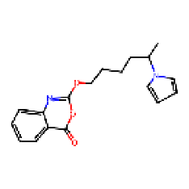 CC(CCCCOc1nc2ccccc2c(=O)o1)n1cccc1